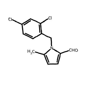 Cc1ccc(C=O)n1Cc1ccc(Cl)cc1Cl